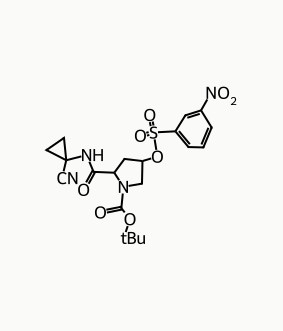 CC(C)(C)OC(=O)N1CC(OS(=O)(=O)c2cccc([N+](=O)[O-])c2)CC1C(=O)NC1(C#N)CC1